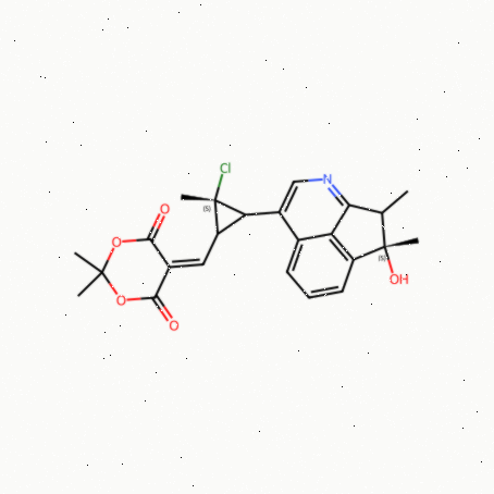 CC1c2ncc(C3C(C=C4C(=O)OC(C)(C)OC4=O)[C@]3(C)Cl)c3cccc(c23)[C@@]1(C)O